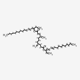 CCCCCCCCCCSSSCC(CC)OC(=O)CCN(C)CCCN(C)CCC(=O)OC(CC)CSSSCCCCCCCCCC